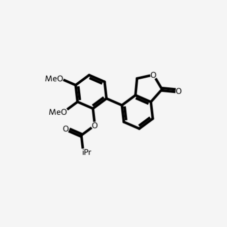 COc1ccc(-c2cccc3c2COC3=O)c(OC(=O)C(C)C)c1OC